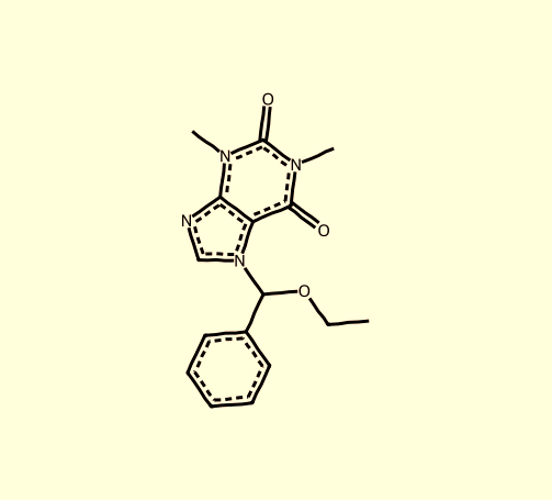 CCOC(c1ccccc1)n1cnc2c1c(=O)n(C)c(=O)n2C